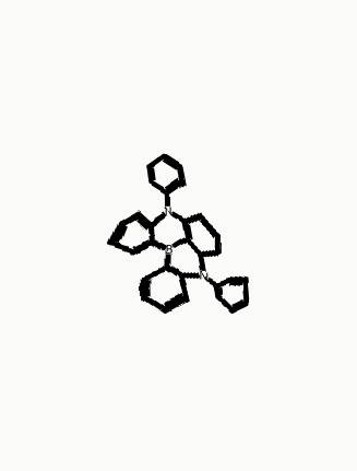 C1=CC2B3C4=C(C=CCC4N(c4ccccc4)C2C=C1)N(c1ccccc1)c1ccccc13